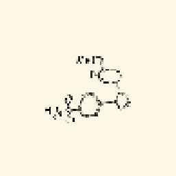 COc1ccc(-c2cscc2-c2ccc(S(N)(=O)=O)cc2)cn1